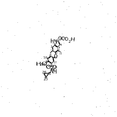 Cc1cc2[nH]c(OC(=O)O)cc2c(C)c1Oc1ccc(O)c(S(=O)(=O)NC2CC2)c1